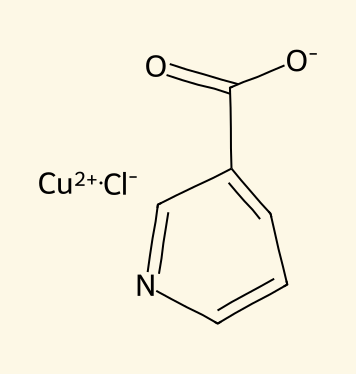 O=C([O-])c1cccnc1.[Cl-].[Cu+2]